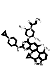 C=CC(=O)N1C[C@H](C)N(c2nc(NC3CCN(C4CC4)CC3)nc3c(F)c(-c4c(C)ccc5[nH]nc(C6CC6)c45)c(Cl)cc23)C[C@H]1C